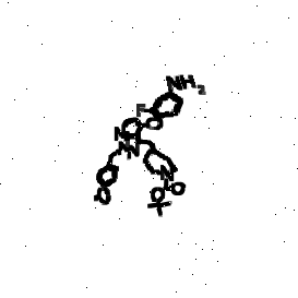 COc1ccc(Cn2nc(CC3CCN(C(=O)OC(C)(C)C)CC3)c3c(Oc4ccc(N)cc4F)ccnc32)cc1